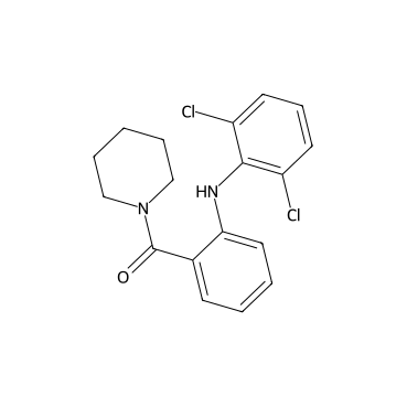 O=C(c1ccccc1Nc1c(Cl)cccc1Cl)N1CCCCC1